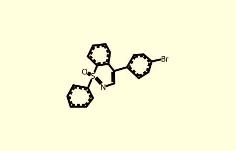 O=S1(c2ccccc2)=NC=C(c2ccc(Br)cc2)c2ccccc21